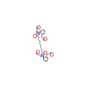 O=C(CCCCCCCCC(=O)N(CC1CO1)c1ccccc1CC1CO1)N(CC1CO1)c1ccccc1CC1CO1